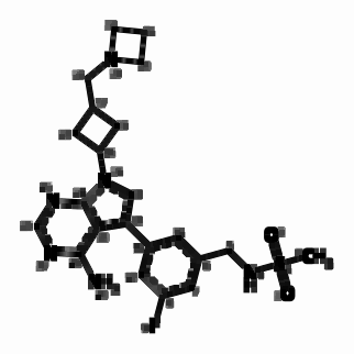 CS(=O)(=O)NCc1cc(F)cc(-c2cn(C3CC(CN4CCC4)C3)c3ncnc(N)c23)c1